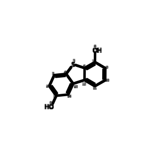 Oc1ccc2sc3c(O)cccc3c2c1